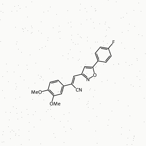 COc1ccc(C(C#N)=Cc2cc(-c3ccc(F)cc3)on2)cc1OC